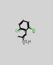 CC(=Cc1c(Cl)cccc1Cl)C(=O)O